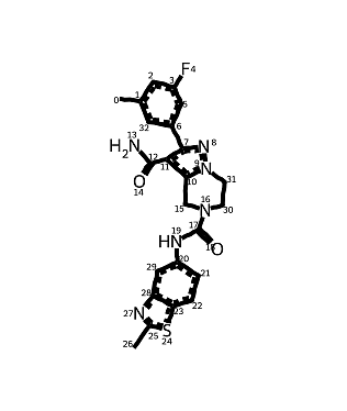 Cc1cc(F)cc(-c2nn3c(c2C(N)=O)CN(C(=O)Nc2ccc4sc(C)nc4c2)CC3)c1